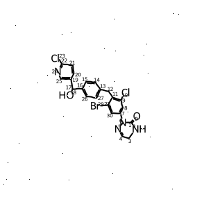 O=C1NCC=NN1c1cc(Cl)c(Cc2ccc(C(O)c3ccc(Cl)nc3)cc2)c(Br)c1